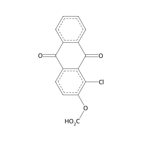 O=C(O)Oc1ccc2c(c1Cl)C(=O)c1ccccc1C2=O